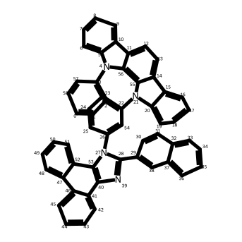 c1ccc(-n2c3ccccc3c3ccc4c5ccccc5n(-c5cccc(-n6c(-c7ccc8ccccc8c7)nc7c8ccccc8c8ccccc8c76)c5)c4c32)cc1